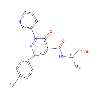 O=C(N[C@H](CO)C(F)(F)F)c1cc(-c2ccc(C(F)(F)F)cc2)nn(-c2cccnc2)c1=O